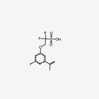 C=C(C)c1cc(I)cc(OCC(F)(F)S(=O)(=O)O)c1